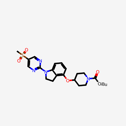 CC(C)COC(=O)N1CCC(Oc2cccc3c2CCN3c2ncc(S(C)(=O)=O)cn2)CC1